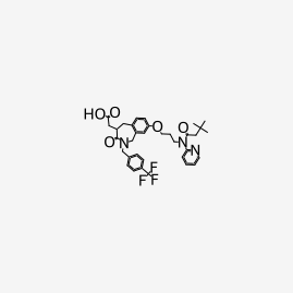 CC(C)(C)CC(=O)N(CCCOc1ccc2c(c1)CN(Cc1ccc(C(F)(F)F)cc1)C(=O)C(CC(=O)O)C2)c1ccccn1